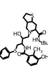 Cc1c(O)cccc1C(=O)NC(CSc1ccccc1)C(O)CN1CC2CCSC2CC1C(=O)NC(C)(C)C